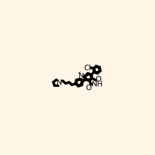 Cn1c2cc(CCCCN3CCCC3)ccc2c2c3c(c(-c4ccccc4Cl)cc21)C(=O)NC3=O